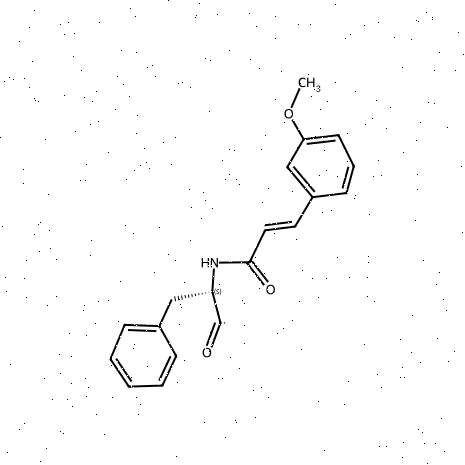 COc1cccc(C=CC(=O)N[C@H]([C]=O)Cc2ccccc2)c1